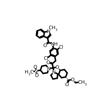 CCOC(=O)[C@H]1CC[C@H](OC(C(=O)Cc2cc(Cl)c(NC(=O)c3cn(C)c4ccccc34)cc2Cl)(N2CCCC2)N2CCC(S(C)(=O)=O)CC2)CC1